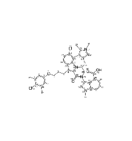 Cc1cc(OCCCc2c3n(c4c(-c5c(C)nn(C)c5C)c(Cl)ccc24)C(C)CN(c2nn(C)c4cccc(C(=O)O)c24)C3=O)cc(C)c1Cl